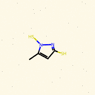 Cc1cc(S)nn1S